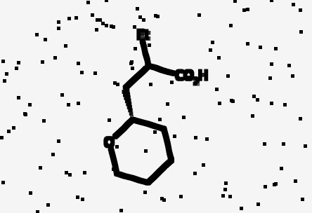 CCC(C[C@@H]1CCCCO1)C(=O)O